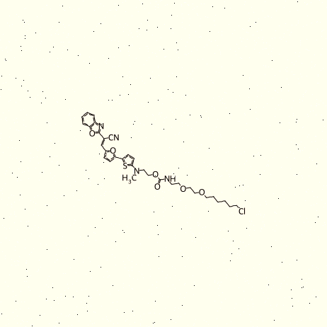 CN(CCOC(=O)NCCOCCOCCCCCCCl)c1ccc(-c2ccc(/C=C(\C#N)c3nc4ccccc4o3)o2)s1